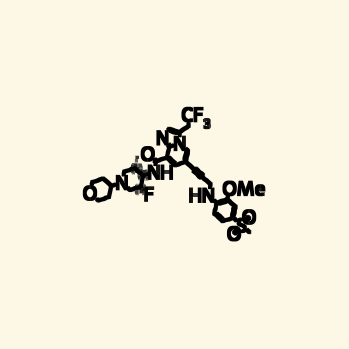 COc1cc(S(C)(=O)=O)ccc1NCC#Cc1cc(C(=O)N[C@@H]2[C@@H](C)CN(C3CCOCC3)C[C@@H]2F)c2ncc(CC(F)(F)F)n2c1